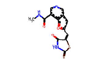 CNC(=O)c1cncc2cc(C=C3SC(=S)NC3=O)oc12